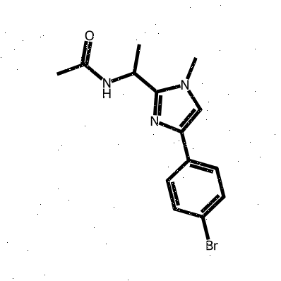 CC(=O)NC(C)c1nc(-c2ccc(Br)cc2)cn1C